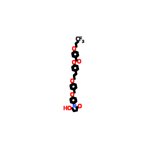 O=C(Oc1ccc(/C=C/COc2ccc(COc3ccc(N4C(=O)CCC4O)cc3)cc2)cc1)c1ccc(OCCCC(F)(F)F)cc1